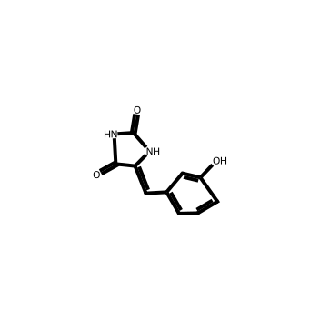 O=C1NC(=O)C(=Cc2cccc(O)c2)N1